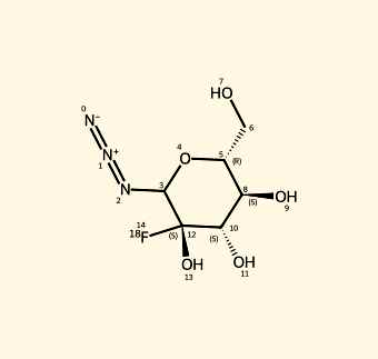 [N-]=[N+]=NC1O[C@H](CO)[C@@H](O)[C@H](O)[C@]1(O)[18F]